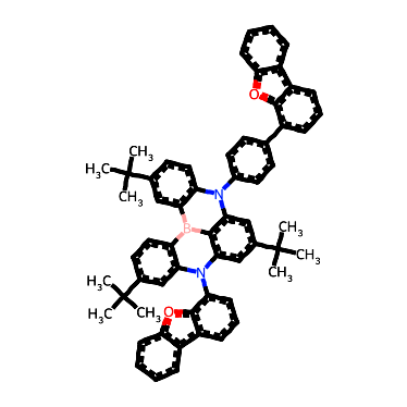 CC(C)(C)c1ccc2c(c1)B1c3ccc(C(C)(C)C)cc3N(c3cccc4c3oc3ccccc34)c3cc(C(C)(C)C)cc(c31)N2c1ccc(-c2cccc3c2oc2ccccc23)cc1